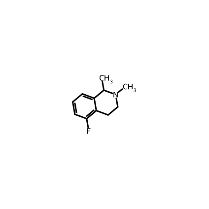 CC1c2cccc(F)c2CCN1C